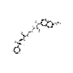 COc1ccc2cc([C@H](C)C(=O)OCCOC(=O)C=CS(=O)(=O)c3ccccc3)ccc2c1